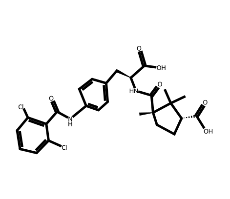 CC1(C)[C@H](C(=O)O)CC[C@]1(C)C(=O)N[C@@H](Cc1ccc(NC(=O)c2c(Cl)cccc2Cl)cc1)C(=O)O